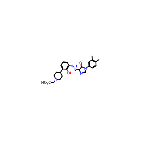 Cc1ccc(N2C=NC(=NNc3cccc(C4CCN(CC(=O)O)CC4)c3O)C2=O)cc1C